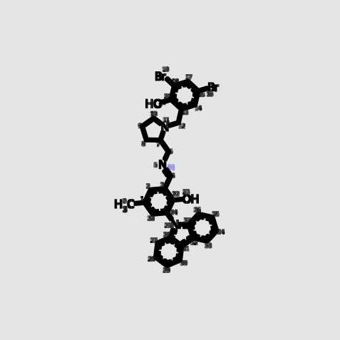 Cc1cc(/C=N/CC2CCCN2Cc2cc(Br)cc(Br)c2O)c(O)c(-n2c3ccccc3c3ccccc32)c1